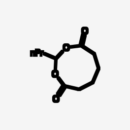 CCCC1OC(=O)CCCCC(=O)O1